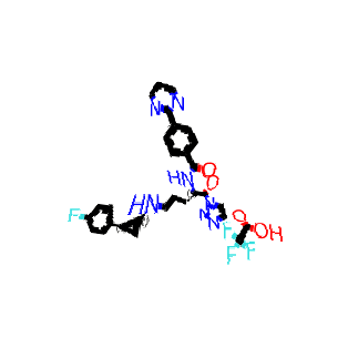 O=C(N[C@@H](CCCN[C@@H]1C[C@H]1c1ccc(F)cc1)C(=O)n1ccnn1)c1ccc(-c2ncccn2)cc1.O=C(O)C(F)(F)F